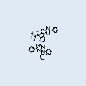 CC1(C)c2cc(-c3nc(-c4ccccc4)nc(-n4c5ccccc5c5ccccc54)n3)ccc2-c2c1ccc1nc(-c3ccccc3)oc21